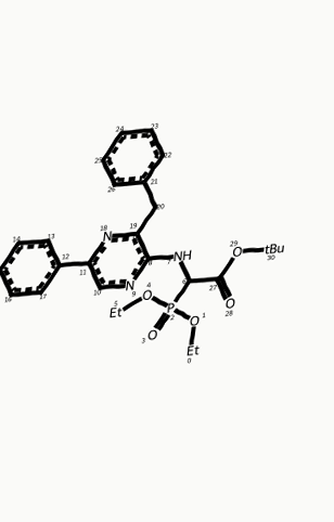 CCOP(=O)(OCC)C(Nc1ncc(-c2ccccc2)nc1Cc1ccccc1)C(=O)OC(C)(C)C